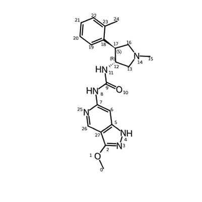 COc1n[nH]c2cc(NC(=O)N[C@H]3CN(C)C[C@@H]3c3ccccc3C)ncc12